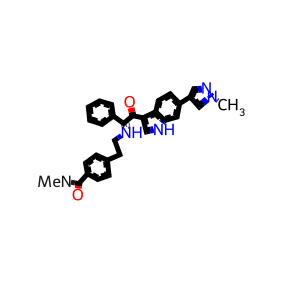 CNC(=O)c1ccc(CCN[C@@H](C(=O)c2c[nH]c3cc(-c4cnn(C)c4)ccc23)c2ccccc2)cc1